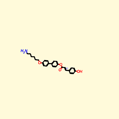 NCCCCCCOc1ccc(-c2ccc(OC(=O)/C=C/c3ccc(O)cc3)cc2)cc1